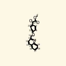 COC(=O)C(=O)c1ccc(OCc2ccc3ccccc3n2)cc1